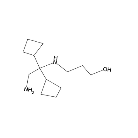 NCC(NCCCO)(C1CCC1)C1CCC1